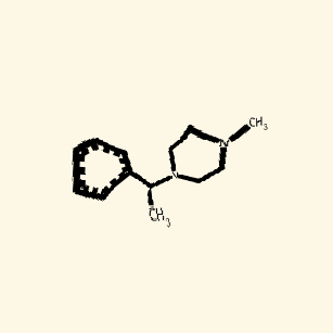 C[C@@H](c1ccccc1)N1CCN(C)CC1